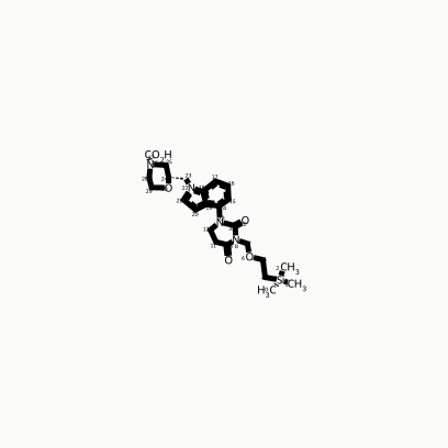 C[Si](C)(C)CCOCN1C(=O)CCN(c2cccc3c2ccn3C[C@H]2CN(C(=O)O)CCO2)C1=O